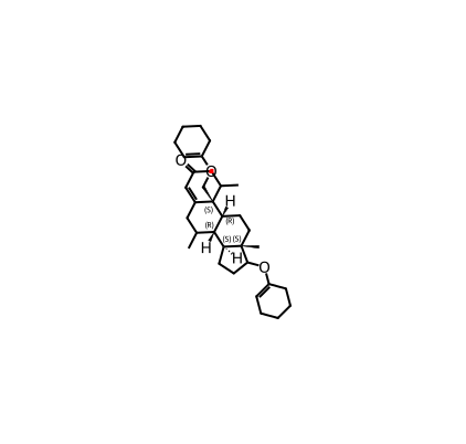 CC1CC2=CC(=O)CC(C)[C@]2(COC2=CCCCC2)[C@@H]2CC[C@]3(C)C(OC4=CCCCC4)CC[C@H]3[C@H]12